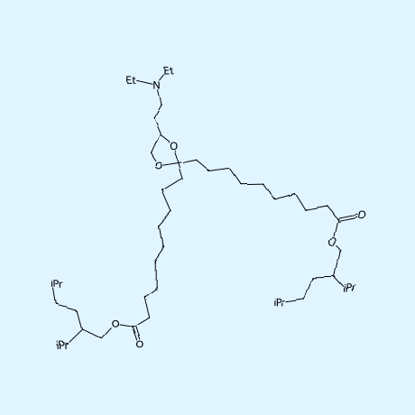 CCN(CC)CCC1COC(CCCCCCCCCC(=O)OCC(CCC(C)C)C(C)C)(CCCCCCCCCC(=O)OCC(CCC(C)C)C(C)C)O1